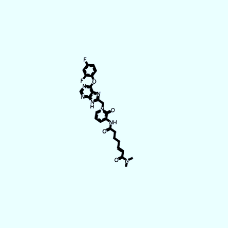 CN(C)C(=O)/C=C/CCCC(=O)Nc1cccn(Cc2nc3c(Oc4ccc(F)cc4F)ncnc3[nH]2)c1=O